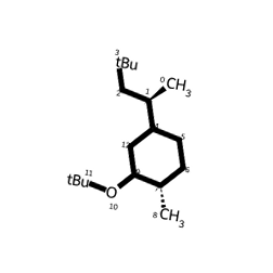 C[C@H](CC(C)(C)C)C1CC[C@H](C)C(OC(C)(C)C)C1